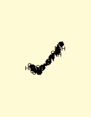 C[C@H]1CCCN1Cc1nc2cc(NC(=O)c3ccc(N4CCN(CCC5CCN(c6cccc7c6C(=O)N(C6CCC(=O)NC6=O)C7=O)CC5)CC4)nc3)ccc2[nH]1